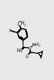 Cc1ccc(C(=N)N(N)C(=O)C2CC2)cc1I